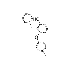 Cc1ccc(Oc2cccc(O)c2Cc2ccccc2)cc1